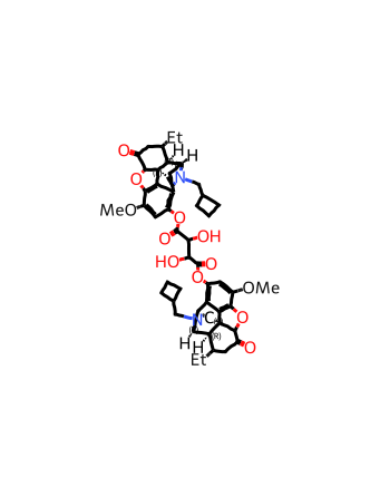 CCC1CC(=O)C2Oc3c(OC)cc(OC(=O)C(O)C(O)C(=O)Oc4cc(OC)c5c6c4C[C@@H]4[C@@H]7C(CC)CC(=O)C(O5)[C@]67CCN4CC4CCC4)c4c3[C@@]23CCN(CC2CCC2)[C@H](C4)[C@H]13